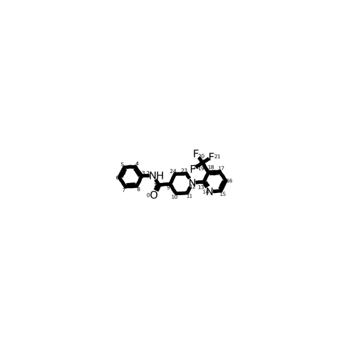 O=C(Nc1ccccc1)C1CCN(c2ncccc2C(F)(F)F)CC1